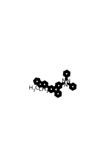 CC1(C)c2ccccc2-c2ccc(-c3ccc4c5ccccc5c5cc(-c6nc(-c7ccccc7)nc(-c7ccccc7)n6)ccc5c4c3)cc21